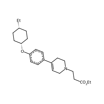 CCOC(=O)CCN1CC=C(c2ccc(O[C@H]3CC[C@@H](CC)CC3)cc2)CC1